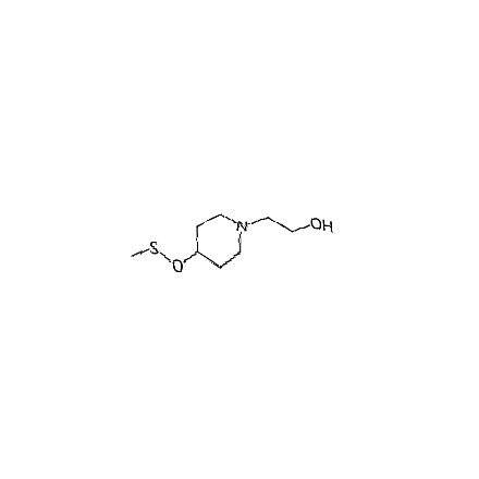 CSOC1CCN(CCO)CC1